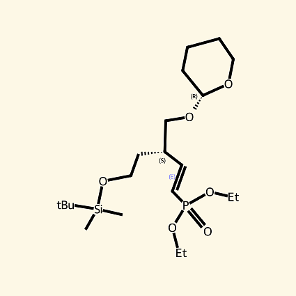 CCOP(=O)(/C=C/[C@H](CCO[Si](C)(C)C(C)(C)C)CO[C@@H]1CCCCO1)OCC